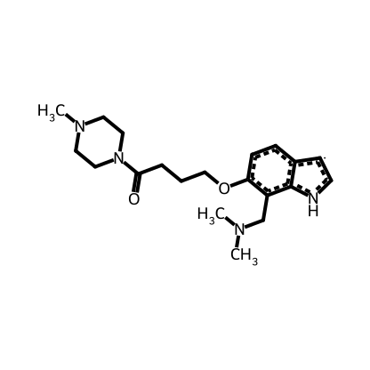 CN(C)Cc1c(OCCCC(=O)N2CCN(C)CC2)ccc2[c]c[nH]c12